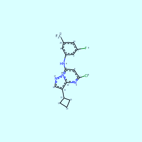 Fc1cc(Nc2cc(Cl)nc3c(C4CCC4)cnn23)cc(C(F)(F)F)c1